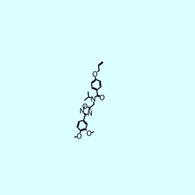 C=CCOc1ccc(C(=O)N(Cc2nc(-c3ccc(OC)c(OC)c3)no2)C(C)C)cc1